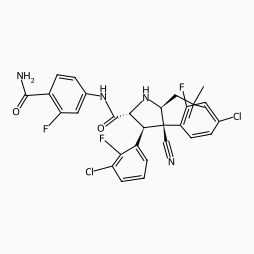 CC(C)(C)C[C@@H]1N[C@@H](C(=O)Nc2ccc(C(N)=O)c(F)c2)[C@H](c2cccc(Cl)c2F)[C@@]1(C#N)c1ccc(Cl)cc1F